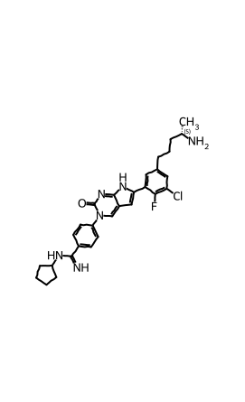 C[C@H](N)CCCc1cc(Cl)c(F)c(-c2cc3cn(-c4ccc(C(=N)NC5CCCC5)cc4)c(=O)nc3[nH]2)c1